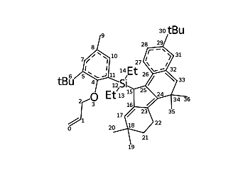 C=CCOc1c(C(C)(C)C)cc(C)cc1[Si](CC)(CC)C1C2=CC(C)(C)CCC2=C2C1=c1ccc(C(C)(C)C)cc1=CC2(C)C